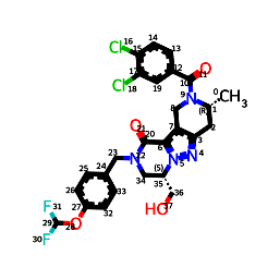 C[C@@H]1Cc2nn3c(c2CN1C(=O)c1ccc(Cl)c(Cl)c1)C(=O)N(Cc1ccc(OC(F)F)cc1)C[C@H]3CO